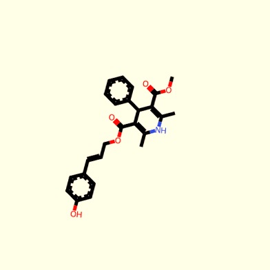 COC(=O)C1=C(C)NC(C)=C(C(=O)OCC=Cc2ccc(O)cc2)C1c1ccccc1